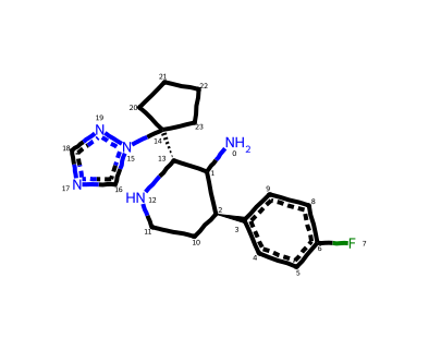 NC1[C@@H](c2ccc(F)cc2)CCN[C@@H]1C1(n2cncn2)CCCC1